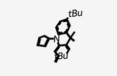 C=C/C=C1\C(=CC(C)(C)C)C(C)(C)c2cc(C(C)(C)C)ccc2N1C1=CC=CC1